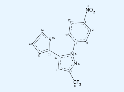 O=[N+]([O-])c1ccc(-n2nc(C(F)(F)F)cc2-c2cccs2)cc1